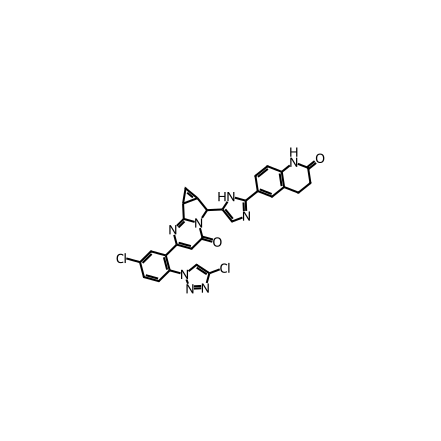 O=C1CCc2cc(-c3ncc(C4C5=CC5c5nc(-c6cc(Cl)ccc6-n6cc(Cl)nn6)cc(=O)n54)[nH]3)ccc2N1